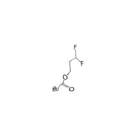 CCC(C)C(=O)OCCC(F)F